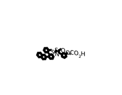 O=C(O)COc1cccc2c1OCc1sc(SCc3ccccc3-c3ccccc3-c3ccc4ccccc4c3)nc1-2